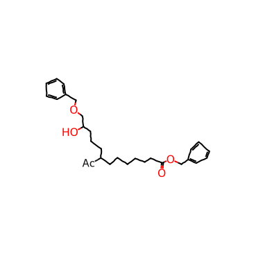 CC(=O)C(CCCCCCC(=O)OCc1ccccc1)CCCC(O)COCc1ccccc1